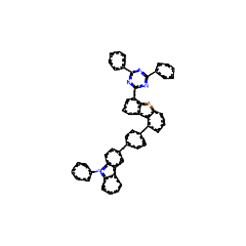 c1ccc(-c2nc(-c3ccccc3)nc(-c3cccc4c3sc3cccc(-c5ccc(-c6ccc7c(c6)c6ccccc6n7-c6ccccc6)cc5)c34)n2)cc1